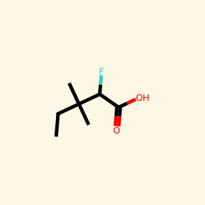 CCC(C)(C)C(F)C(=O)O